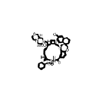 CO[C@@]1(CN2CCN3CCOC[C@@H]3C2)/C=C/C[C@@H]2C[C@]2(Cc2ccccc2)S(=O)(=O)NC(=O)c2ccc3c(c2)N(C[C@@H]2CC[C@H]21)C[C@@]1(CCCc2cc(Cl)ccc21)CO3